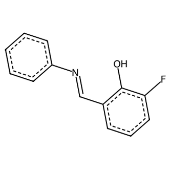 Oc1c(F)cccc1/C=N/c1ccccc1